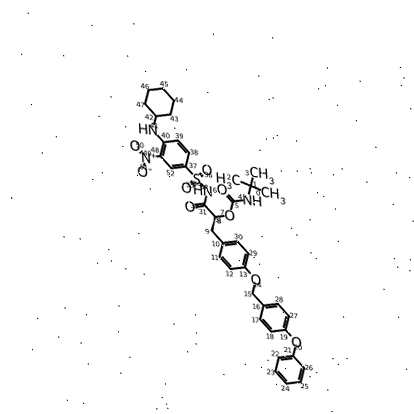 CC(C)(C)NC(=O)O[C@@H](Cc1ccc(OCc2ccc(Oc3ccccc3)cc2)cc1)C(=O)NS(=O)(=O)c1ccc(NC2CCCCC2)c([N+](=O)[O-])c1